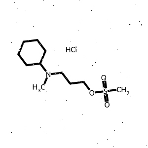 CN(CCCOS(C)(=O)=O)C1CCCCC1.Cl